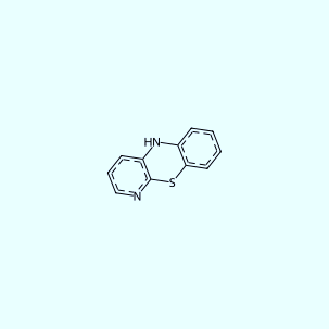 c1ccc2c(c1)Nc1cccnc1S2